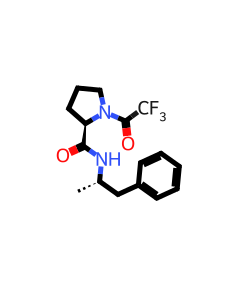 C[C@@H](Cc1ccccc1)NC(=O)[C@H]1CCCN1C(=O)C(F)(F)F